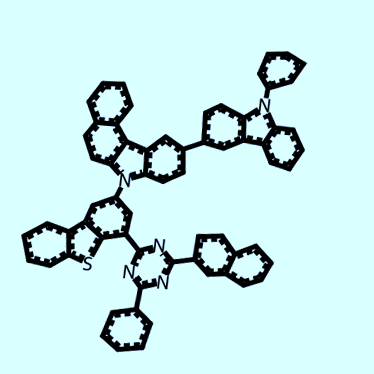 c1ccc(-c2nc(-c3ccc4ccccc4c3)nc(-c3cc(-n4c5ccc(-c6ccc7c(c6)c6ccccc6n7-c6ccccc6)cc5c5c6ccccc6ccc54)cc4c3sc3ccccc34)n2)cc1